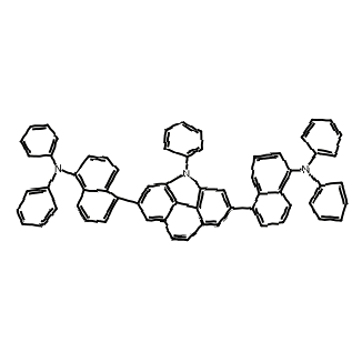 c1ccc(N(c2ccccc2)c2cccc3c(-c4cc5ccc6cc(-c7cccc8c(N(c9ccccc9)c9ccccc9)cccc78)cc7c6c5c(c4)n7-c4ccccc4)cccc23)cc1